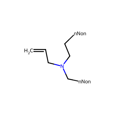 C=CCN(CCCCCCCCCC)CCCCCCCCCCC